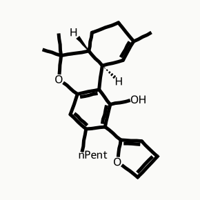 CCCCCc1cc2c(c(O)c1-c1ccco1)[C@@H]1C=C(C)CC[C@H]1C(C)(C)O2